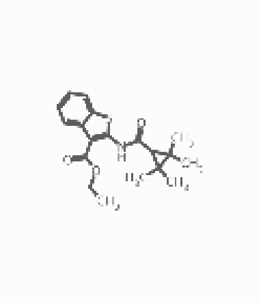 CCOC(=O)c1c(NC(=O)C2C(C)(C)C2(C)C)sc2ccccc12